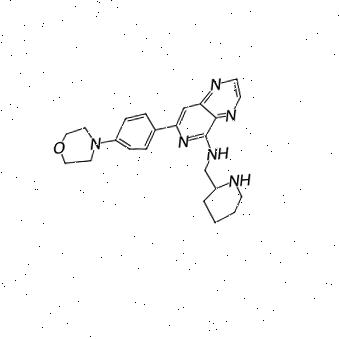 c1cnc2c(NCC3CCCCN3)nc(-c3ccc(N4CCOCC4)cc3)cc2n1